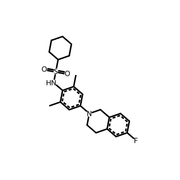 Cc1cc(N2CCc3cc(F)ccc3C2)cc(C)c1NS(=O)(=O)C1CCCCC1